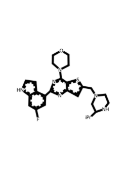 CC(C)C1CN(Cc2cc3nc(-c4cc(F)cc5[nH]ccc45)nc(N4CCOCC4)c3s2)CCN1